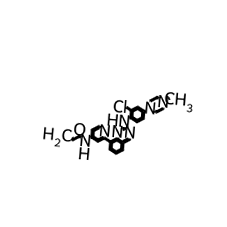 C=CC(=O)Nc1ccnc(-c2cccc3cnc(Nc4ccc(N5CCN(C)CC5)cc4Cl)nc23)c1